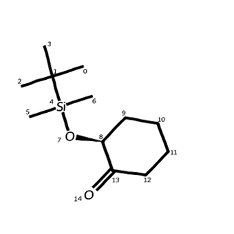 CC(C)(C)[Si](C)(C)O[C@H]1CCCCC1=O